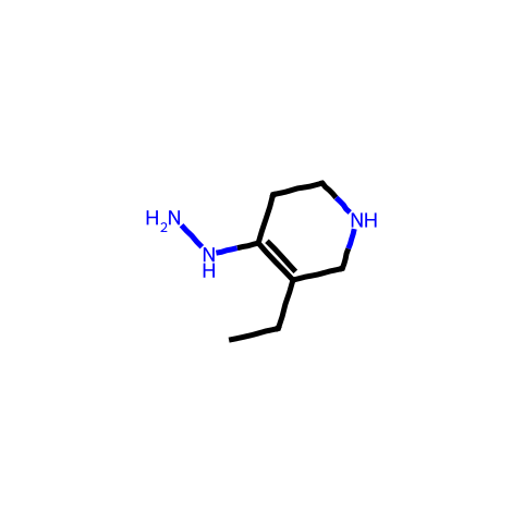 CCC1=C(NN)CCNC1